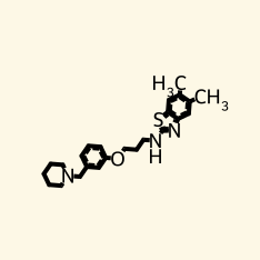 Cc1cc2nc(NCCCOc3cccc(CN4CCCCC4)c3)sc2cc1C